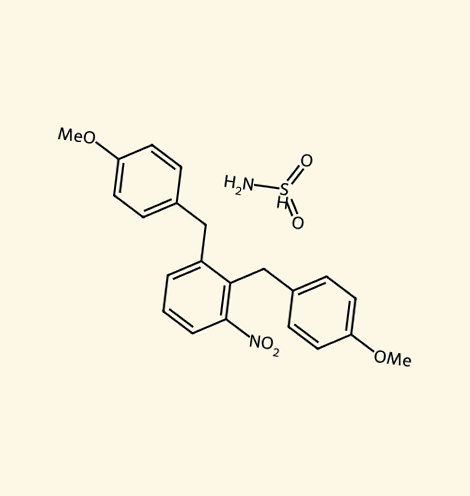 COc1ccc(Cc2cccc([N+](=O)[O-])c2Cc2ccc(OC)cc2)cc1.N[SH](=O)=O